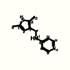 Cc1cc(CNc2ccncc2)c(C)s1